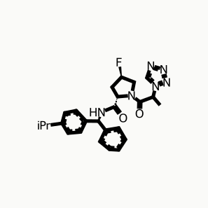 CC(C)c1ccc([C@@H](NC(=O)[C@@H]2C[C@@H](F)CN2C(=O)C(C)n2cnnn2)c2ccccc2)cc1